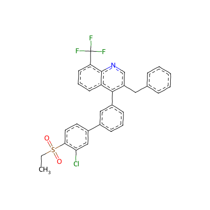 CCS(=O)(=O)c1ccc(-c2cccc(-c3c(Cc4ccccc4)cnc4c(C(F)(F)F)cccc34)c2)cc1Cl